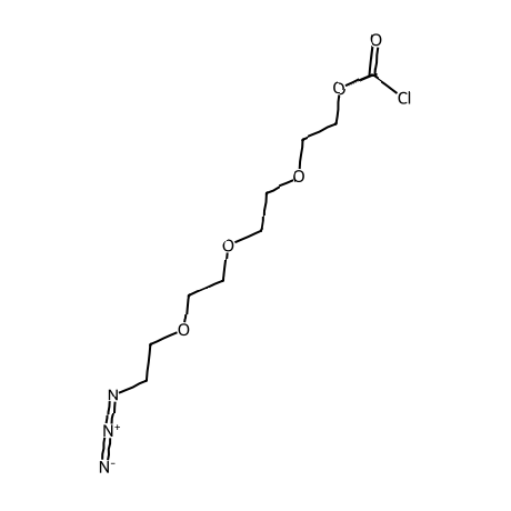 [N-]=[N+]=NCCOCCOCCOCCOC(=O)Cl